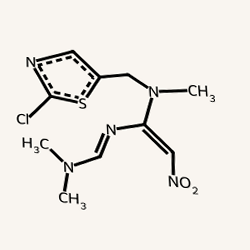 CN(C)C=NC(=C[N+](=O)[O-])N(C)Cc1cnc(Cl)s1